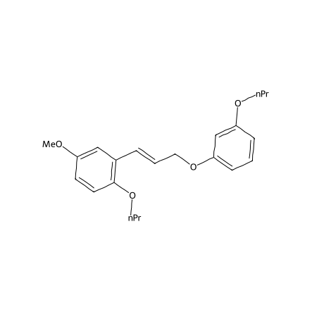 CCCOc1cccc(OC/C=C/c2cc(OC)ccc2OCCC)c1